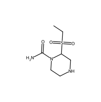 CCS(=O)(=O)C1CNCCN1C(N)=O